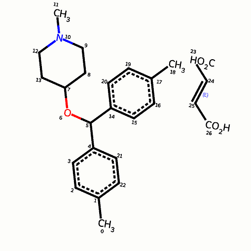 Cc1ccc(C(OC2CCN(C)CC2)c2ccc(C)cc2)cc1.O=C(O)/C=C/C(=O)O